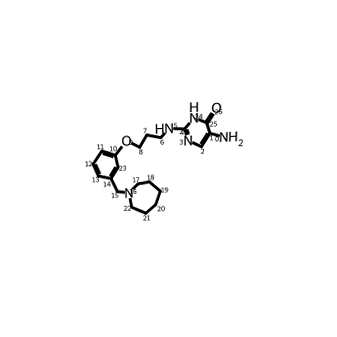 Nc1cnc(NCCCOc2cccc(CN3CCCCCC3)c2)[nH]c1=O